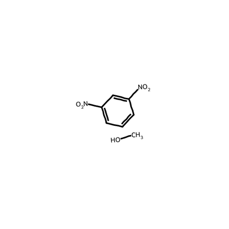 CO.O=[N+]([O-])c1cccc([N+](=O)[O-])c1